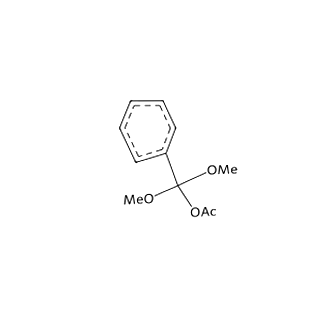 COC(OC)(OC(C)=O)c1ccccc1